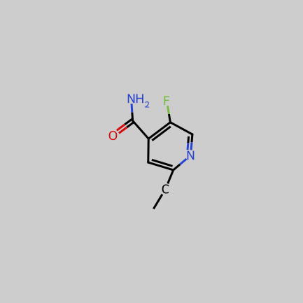 CCc1cc(C(N)=O)c(F)cn1